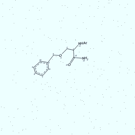 CC(=O)NC(COCc1ccccc1)C(N)=O